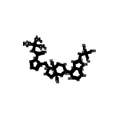 CC(C)(C)OC(=O)n1cccc1CN1CC[C@H]2CN(c3ncnc4sc(CC(F)(F)F)cc34)CC[C@H]21